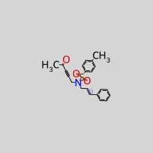 CC(=O)C#CCN(C/C=C/c1ccccc1)S(=O)(=O)c1ccc(C)cc1